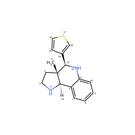 C[C@]12CCN[C@@H]1c1ccccc1N[C@@H]2c1ccsc1